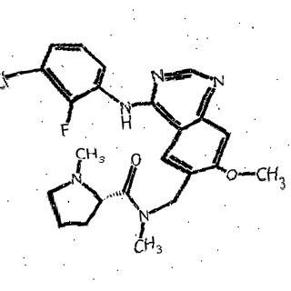 COc1cc2ncnc(Nc3cccc(Cl)c3F)c2cc1CN(C)C(=O)[C@@H]1CCCN1C